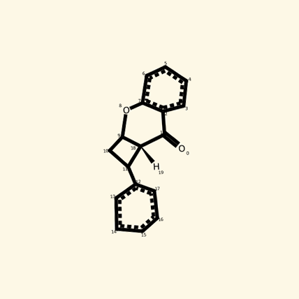 O=C1c2ccccc2OC2CC(c3ccccc3)[C@@H]12